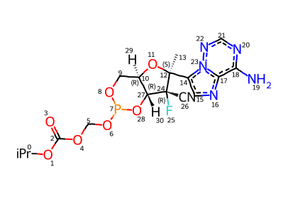 CC(C)OC(=O)OCOP1OC[C@H]2O[C@@](C)(c3cnc4c(N)ncnn34)[C@@](F)(C#N)[C@@H]2O1